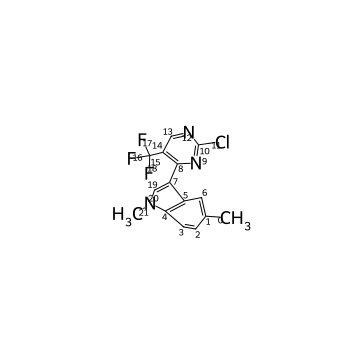 Cc1ccc2c(c1)c(-c1nc(Cl)ncc1C(F)(F)F)cn2C